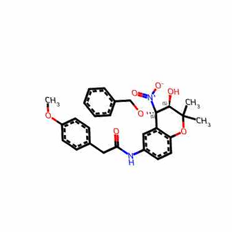 COc1ccc(CC(=O)Nc2ccc3c(c2)[C@@](OCc2ccccc2)([N+](=O)[O-])[C@@H](O)C(C)(C)O3)cc1